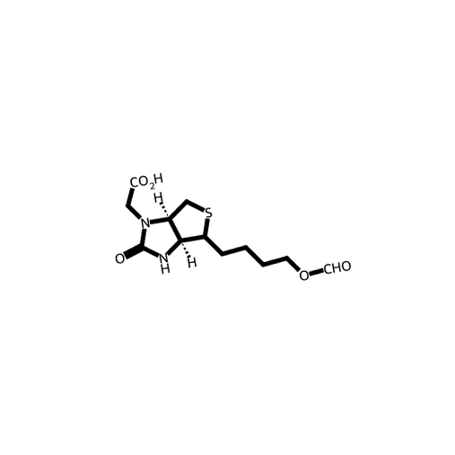 O=COCCCCC1SC[C@H]2[C@@H]1NC(=O)N2CC(=O)O